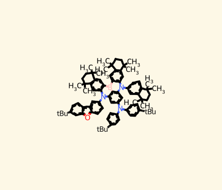 CC(C)(C)c1ccc(N(c2ccc(C(C)(C)C)cc2)c2cc3c4c(c2)N(c2ccc5oc6cc(C(C)(C)C)ccc6c5c2)c2cc5c(cc2B4c2cc4c(cc2N3c2ccc3c(c2)C(C)(C)CCC3(C)C)C(C)(C)CCC4(C)C)C(C)(C)CCC5(C)C)cc1